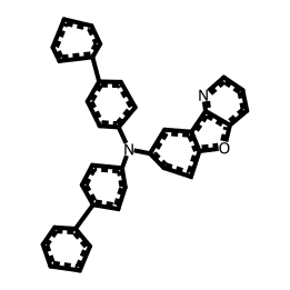 c1ccc(-c2ccc(N(c3ccc(-c4ccccc4)cc3)c3ccc4oc5cccnc5c4c3)cc2)cc1